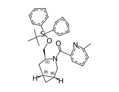 Cc1cccc(C(=O)N2C[C@@H]3C[C@@H]3C[C@H]2CO[Si](c2ccccc2)(c2ccccc2)C(C)(C)C)n1